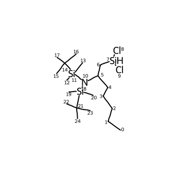 CCCCCC(C[SiH](Cl)Cl)N([Si](C)(C)C(C)(C)C)[Si](C)(C)C(C)(C)C